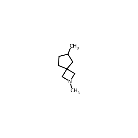 CC1CCC2(C1)CN(C)C2